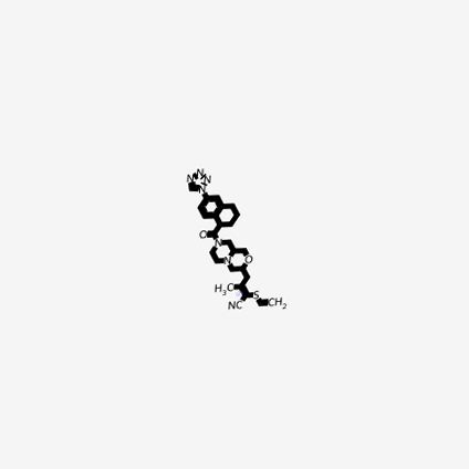 C=CS/C(C#N)=C(/C)CC1CN2CCN(C(=O)C3CCCc4cc(-n5cnnn5)ccc43)CC2CO1